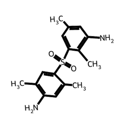 Cc1cc(N)c(C)c(S(=O)(=O)c2cc(C)c(N)cc2C)c1